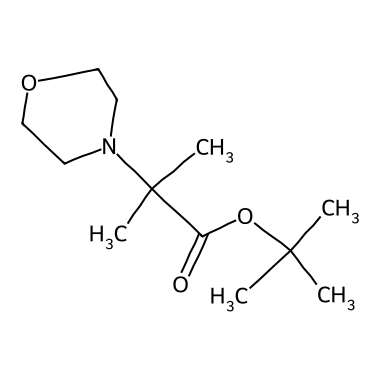 CC(C)(C)OC(=O)C(C)(C)N1CCOCC1